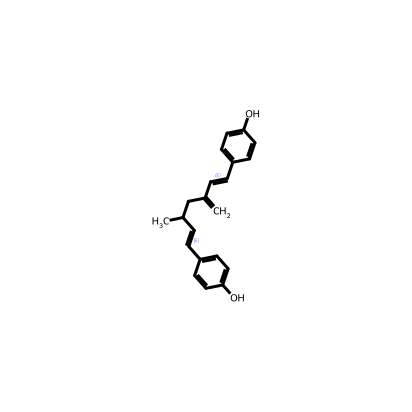 C=C(/C=C/c1ccc(O)cc1)CC(C)/C=C/c1ccc(O)cc1